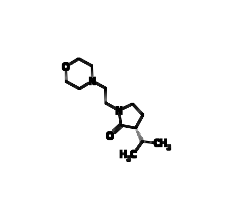 CC(C)[C@H]1CCN(CCN2CCOCC2)C1=O